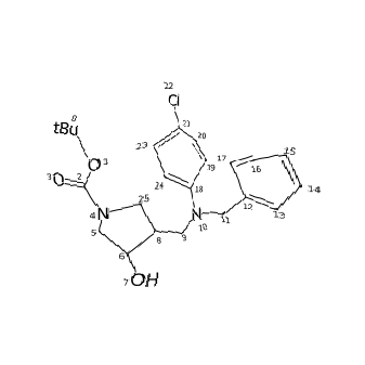 CC(C)(C)OC(=O)N1CC(O)C(CN(Cc2ccccc2)c2ccc(Cl)cc2)C1